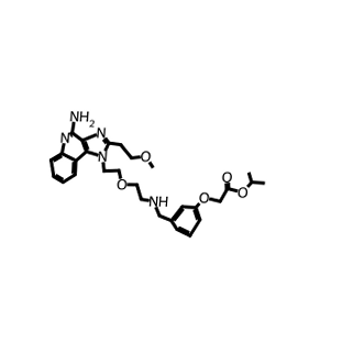 COCCc1nc2c(N)nc3ccccc3c2n1CCOCCNCc1cccc(OCC(=O)OC(C)C)c1